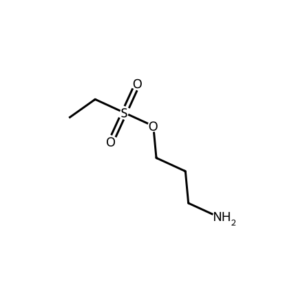 CCS(=O)(=O)OCCCN